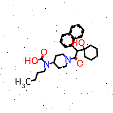 CCCCN(C(=O)O)C1CCN(C(=O)C(c2cccc3ccccc23)C2(O)CCCCC2)CC1